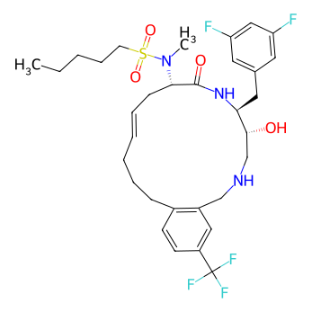 CCCCCS(=O)(=O)N(C)[C@H]1C/C=C/CCCc2ccc(C(F)(F)F)cc2CNC[C@@H](O)[C@H](Cc2cc(F)cc(F)c2)NC1=O